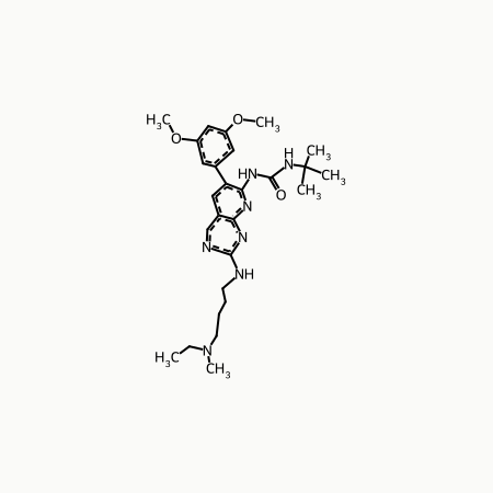 CCN(C)CCCCNc1ncc2cc(-c3cc(OC)cc(OC)c3)c(NC(=O)NC(C)(C)C)nc2n1